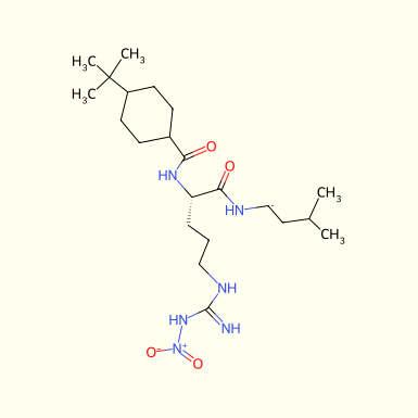 CC(C)C[CH]NC(=O)[C@H](CCCNC(=N)N[N+](=O)[O-])NC(=O)C1CCC(C(C)(C)C)CC1